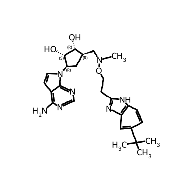 CN(C[C@H]1C[C@@H](n2ccc3c(N)ncnc32)[C@H](O)[C@@H]1O)OCCc1nc2cc(C(C)(C)C)ccc2[nH]1